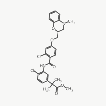 COC(=O)C(C)(C)c1ccc(Cl)c(NC(=O)c2ccc(OC[C@@H]3CN(C)c4ccccc4O3)cc2Cl)c1